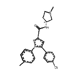 Cc1ccc(-n2nc(C(=O)N[C@@H]3CCN(C)C3)cc2-c2ccc(C#N)cc2)cc1